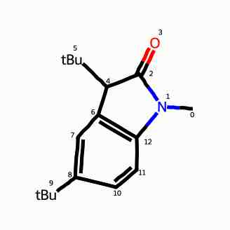 CN1C(=O)C(C(C)(C)C)c2cc(C(C)(C)C)ccc21